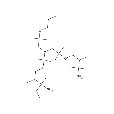 CCCOC(C)(C)CC(CC(C)(C)OCC(C)C(C)(C)N)C(C)(C)OCC(C)C(C)(N)CC